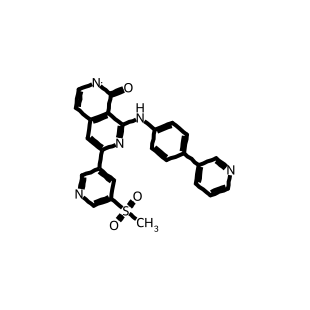 CS(=O)(=O)c1cncc(-c2cc3c(c(Nc4ccc(-c5cccnc5)cc4)n2)C(=O)[N]C=C3)c1